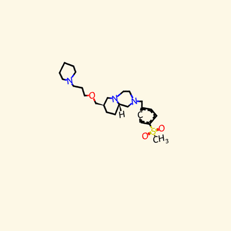 CS(=O)(=O)c1ccc(CN2CCN3C[C@H](COCCCN4CCCCC4)CC[C@H]3C2)cc1